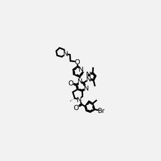 Cc1cc(C)n(-c2nc3c(c(=O)n2-c2ccc(OCCN4CCCCC4)nc2)C[C@@H](C)N(C(=O)c2ccc(Br)c(C)c2)C3)n1